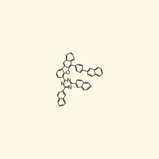 c1ccc2cc(-c3ccc(-c4c5ccccc5cc5c4oc4c(-c6nc(-c7ccc8ccccc8c7)nc(-c7ccc8ccccc8c7)n6)cccc45)cc3)ccc2c1